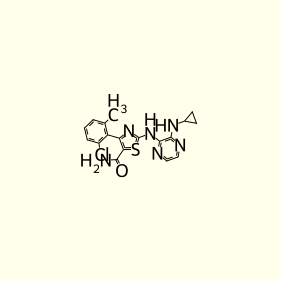 Cc1cccc(Cl)c1-c1nc(Nc2nccnc2NC2CC2)sc1C(N)=O